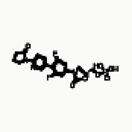 O=C1O[C@@H](COP(=O)(O)O)CN1c1cc(F)c(-c2ccc(N3CCCC3=O)nc2)c(F)c1